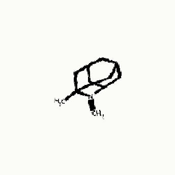 C=[N+]1C2CC3CC(C2)CC1(C)C3